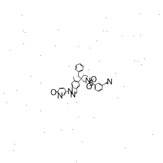 Cc1cc2c(cnn2-c2ccc(=O)n(C)c2)cc1C1(Cc2ccccc2)CCN(S(=O)(=O)c2cccc(C#N)c2)C1